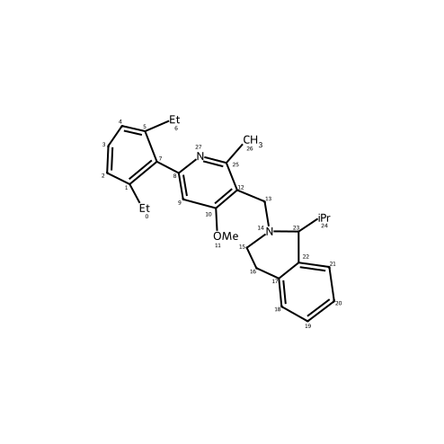 CCc1cccc(CC)c1-c1cc(OC)c(CN2CCc3ccccc3C2C(C)C)c(C)n1